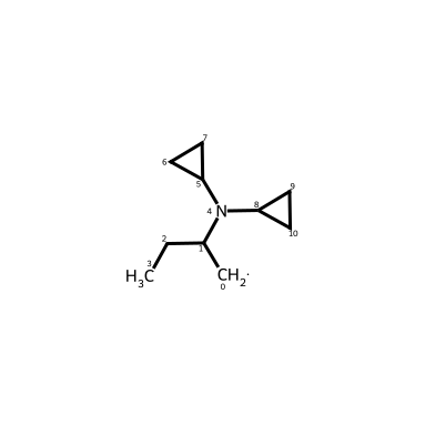 [CH2]C(CC)N(C1CC1)C1CC1